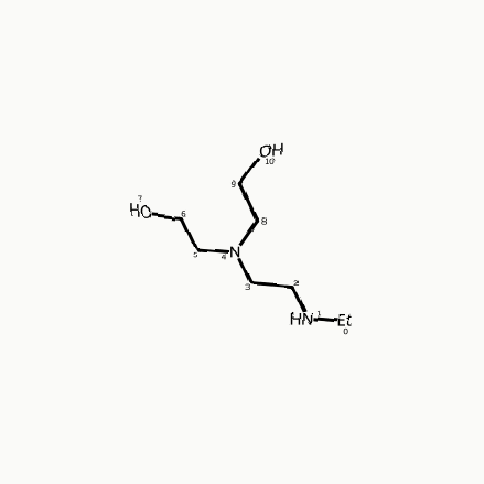 CCNCCN(CCO)CCO